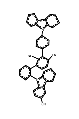 N#Cc1ccc2c(c1)c1ccccc1n2-c1ccccc1-c1ccc(C#N)c(-c2ccc(-n3c4ccccc4c4ccccc43)cc2)c1C#N